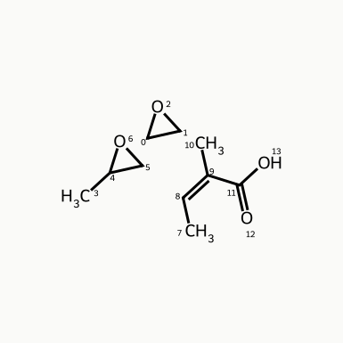 C1CO1.CC1CO1.CC=C(C)C(=O)O